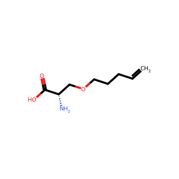 C=CCCCOC[C@H](N)C(=O)O